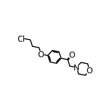 O=C(CN1CCOCC1)c1ccc(OCCCCl)cc1